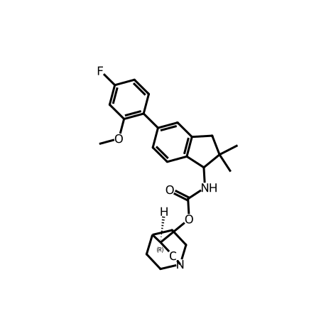 COc1cc(F)ccc1-c1ccc2c(c1)CC(C)(C)C2NC(=O)O[C@H]1CN2CCC1CC2